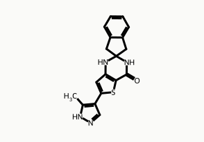 Cc1[nH]ncc1-c1cc2c(s1)C(=O)NC1(Cc3ccccc3C1)N2